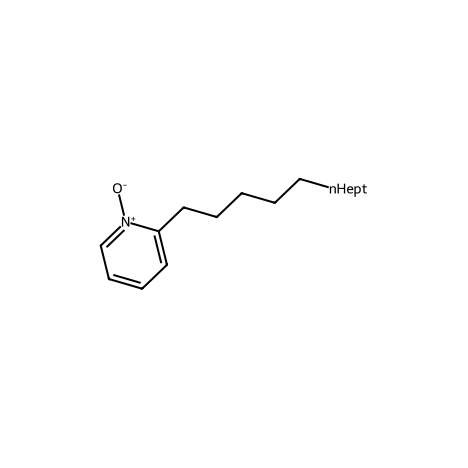 CCCCCCCCCCCCc1cccc[n+]1[O-]